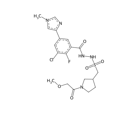 COCC(=O)N1CCC(CS(=O)(=O)NNC(=O)c2cc(-c3cn(C)cn3)cc(Cl)c2F)C1